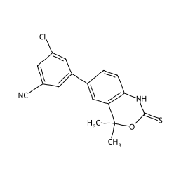 CC1(C)OC(=S)Nc2ccc(-c3cc(Cl)cc(C#N)c3)cc21